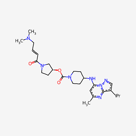 Cc1cc(NC2CCN(C(=O)O[C@H]3CCN(C(=O)/C=C/CN(C)C)C3)CC2)n2ncc(C(C)C)c2n1